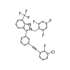 Fc1cc(F)c(Cn2nc3c(C(F)(F)F)cccc3c2-c2cccc(C#Cc3cccc(Cl)c3F)c2)c(F)c1